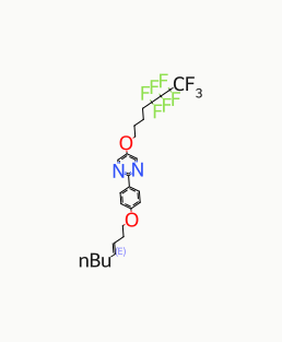 CCCC/C=C/CCOc1ccc(-c2ncc(OCCCCC(F)(F)C(F)(F)C(F)(F)C(F)(F)F)cn2)cc1